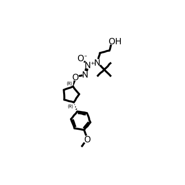 COc1ccc([C@@H]2CC[C@@H](ON=[N+]([O-])N(CCO)C(C)(C)C)C2)cc1